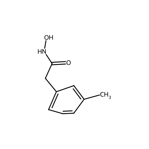 Cc1cccc(CC(=O)NO)c1